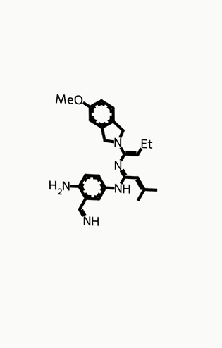 CC/C=C(/N=C(\C=C(C)C)Nc1ccc(N)c(C=N)c1)N1Cc2ccc(OC)cc2C1